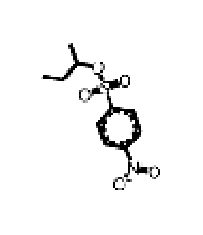 CCC(C)OS(=O)(=O)c1ccc([N+](=O)[O-])cc1